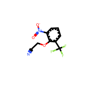 N#CCOc1c([N+](=O)[O-])cccc1C(F)(F)F